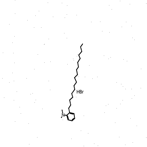 Br.CCCCCCCCCCCCCCCCCCc1ccccc1N(C)C